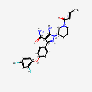 C/C=C/C(=O)N1CCC[C@@H](n2nc(-c3ccc(Oc4ccc(F)cc4F)cc3)c(C(N)=O)c2N)C1